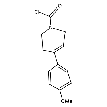 COc1ccc(C2=CCN(C(=O)Cl)CC2)cc1